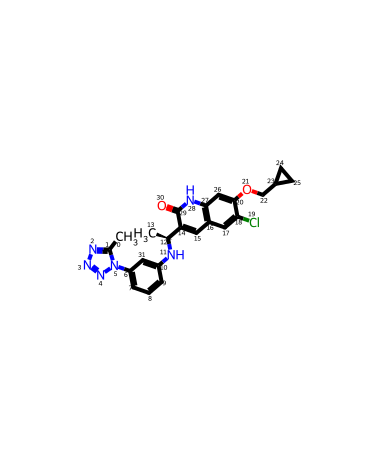 Cc1nnnn1-c1cccc(N[C@@H](C)c2cc3cc(Cl)c(OCC4CC4)cc3[nH]c2=O)c1